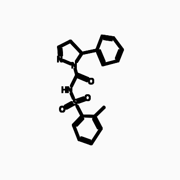 Cc1ccccc1S(=O)(=O)NC(=O)N1N=CCC1c1ccccc1